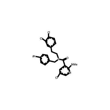 CNc1ncc(Cl)cc1C(=O)N(CCc1ccc(Cl)c(Cl)c1)Cc1ccc(C(C)C)cc1